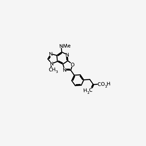 C=C(Cc1cccc(-c2nc3c(nc(NC)c4ncn(C)c43)o2)c1)C(=O)O